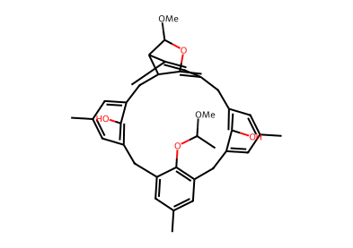 COC(C)Oc1c2cc(C)cc1Cc1cc(C)cc(c1O)CC1C3=C(C=C(C)C1C(OC)O3)Cc1cc(C)cc(c1O)C2